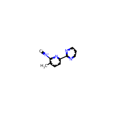 [C-]#[N+]c1nc(-c2ncccn2)ccc1C